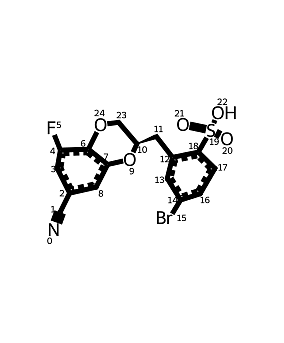 N#Cc1cc(F)c2c(c1)O[C@H](Cc1cc(Br)ccc1S(=O)(=O)O)CO2